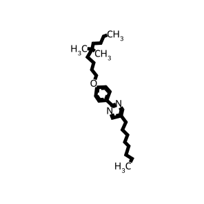 CCCCCCCCc1cnc(-c2ccc(OCCCCC(C)(C)CCCC)cc2)nc1